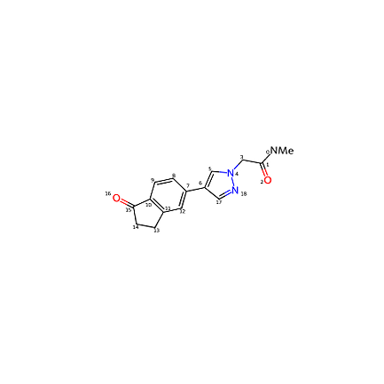 CNC(=O)Cn1cc(-c2ccc3c(c2)CCC3=O)cn1